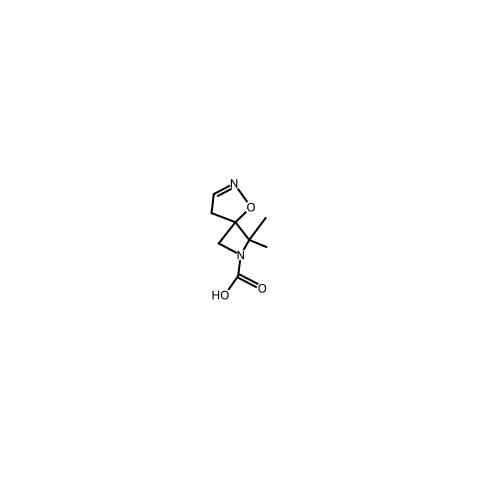 CC1(C)N(C(=O)O)CC12CC=NO2